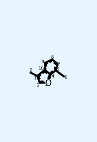 Cc1coc2c(C)cccc12